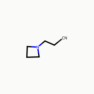 N#CCCN1CCC1